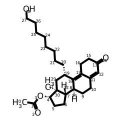 CC(=O)O[C@H]1CC[C@H]2[C@@H]3CCC4=CC(=O)CCC4=C3[C@@H](CCCCCCCCO)C[C@]12C